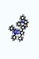 c1ccc(-c2ccc(-c3ccc4c(c3)sc3ccc5c6ccccc6n(-c6ccccc6)c5c34)c(Cc3nc(-c4ccccc4)nc(-c4ccccc4)n3)c2)cc1